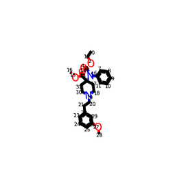 CCOC(=O)N(c1ccccc1)C1(C(=O)OC)CCN(CCc2cccc(OC)c2)CC1